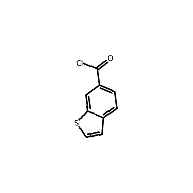 O=C(Cl)c1ccc2ccsc2c1